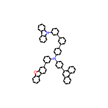 c1cc(-c2ccc(N(c3ccc(-c4cc5ccccc5c5ccccc45)cc3)c3cccc(-c4ccc5c(c4)oc4ccccc45)c3)cc2)cc(-c2cccc(-n3c4ccccc4c4ccccc43)c2)c1